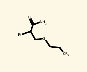 CCC(CSCCC(F)(F)F)C(N)=O